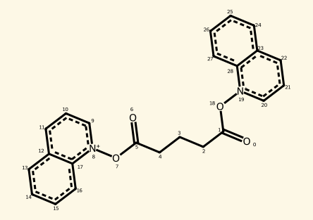 O=C(CCCC(=O)O[n+]1cccc2ccccc21)O[n+]1cccc2ccccc21